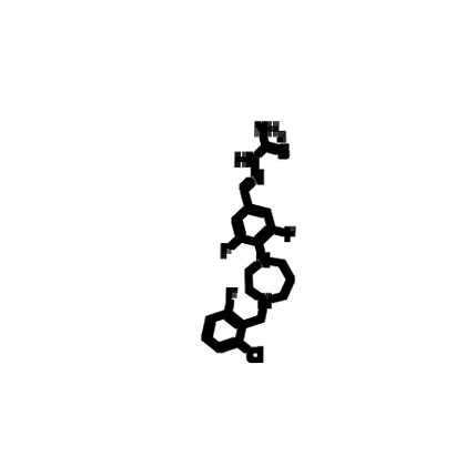 NC(=S)NN=Cc1cc(F)c(N2CCCN(Cc3c(F)cccc3Cl)CC2)c(F)c1